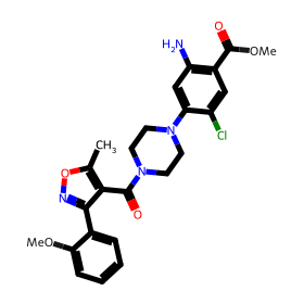 COC(=O)c1cc(Cl)c(N2CCN(C(=O)c3c(-c4ccccc4OC)noc3C)CC2)cc1N